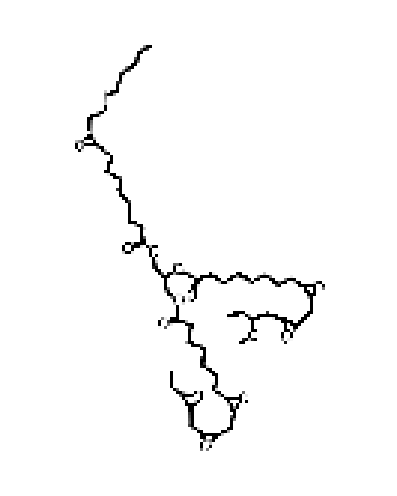 CCCCCCCCC1OC1CCCCCCCC(=O)OCC(COC(=O)CCCCCCC1OC1CC1OC1CC1OC1CC)OC(=O)CCCCCCCC1OC1CC1OC1CC(CC)OC